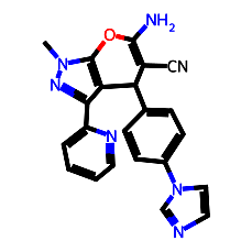 Cn1nc(-c2ccccn2)c2c1OC(N)=C(C#N)C2c1ccc(-n2ccnc2)cc1